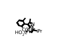 CCOC(=O)c1cccc(C)c1-c1c(C)nn2c(C(C)C)cn(C(=O)O)c12